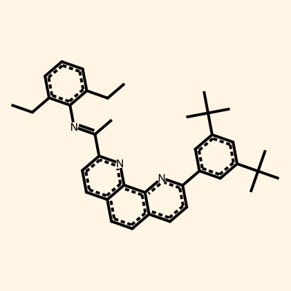 CCc1cccc(CC)c1N=C(C)c1ccc2ccc3ccc(-c4cc(C(C)(C)C)cc(C(C)(C)C)c4)nc3c2n1